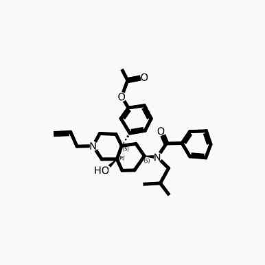 C=CCN1CC[C@@]2(c3cccc(OC(C)=O)c3)C[C@@H](N(CC(C)C)C(=O)c3ccccc3)CC[C@]2(O)C1